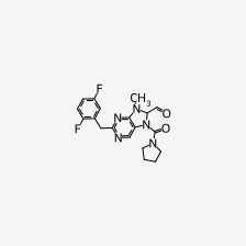 CN1c2nc(Cc3cc(F)ccc3F)ncc2N(C(=O)N2CCCC2)C1C=O